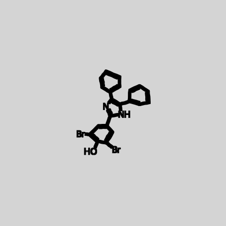 Oc1c(Br)cc(-c2nc(-c3ccccc3)c(-c3ccccc3)[nH]2)cc1Br